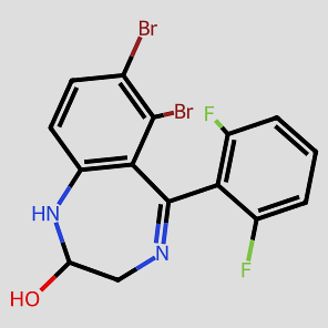 OC1CN=C(c2c(F)cccc2F)c2c(ccc(Br)c2Br)N1